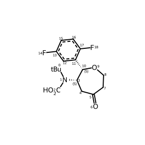 CC(C)(C)N(C(=O)O)[C@H]1CC(=O)CCO[C@H]1c1cc(F)ccc1F